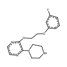 Fc1cccc(OCCOc2nccnc2N2CCNCC2)c1